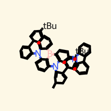 CC1C=C(N2c3cc(-n4c5ccccc5c5ccccc54)ccc3B3c4ccccc4N(c4ccccc4C4C=CC(C(C)(C)C)=CC4)c4cccc2c43)C(c2ccc(C(C)(C)C)cc2)=CC1